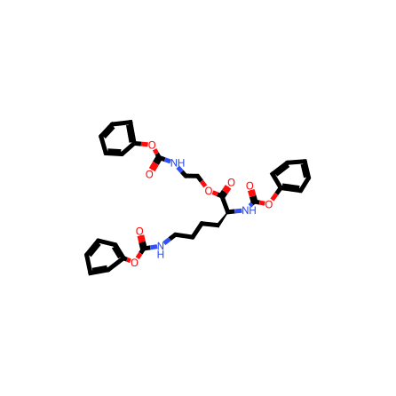 O=C(NCCCC[C@H](NC(=O)Oc1ccccc1)C(=O)OCCNC(=O)Oc1ccccc1)Oc1ccccc1